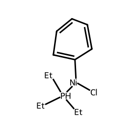 CC[PH](CC)(CC)[Ni]([Cl])[c]1ccccc1